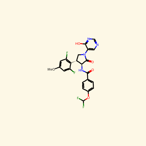 COc1cc(F)c([C@@H]2CN(c3cncnc3O)C(=O)[C@H]2NC(=O)c2ccc(OC(F)F)cc2)c(F)c1